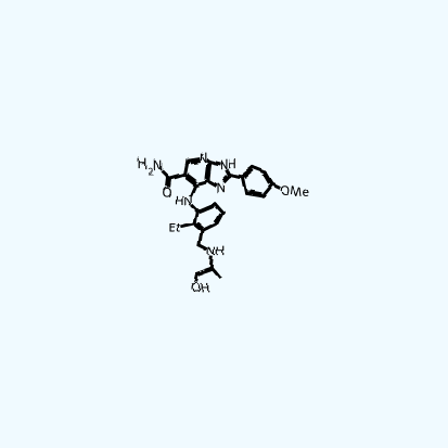 CCc1c(CNC(C)CO)cccc1Nc1c(C(N)=O)cnc2[nH]c(-c3ccc(OC)cc3)nc12